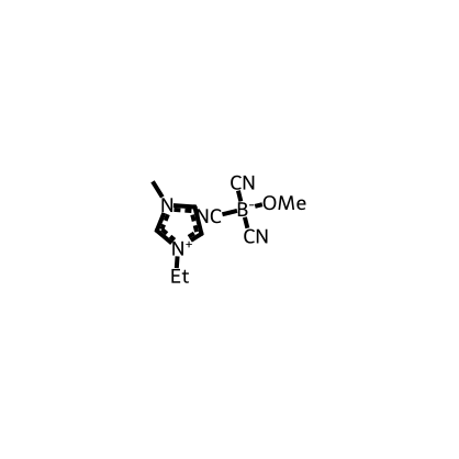 CC[n+]1ccn(C)c1.CO[B-](C#N)(C#N)C#N